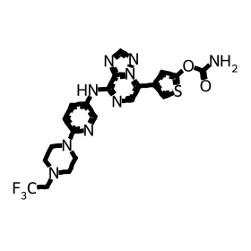 NC(=O)Oc1cc(-c2cnc(Nc3ccc(N4CCN(CC(F)(F)F)CC4)nc3)c3ncnn23)cs1